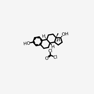 C[C@]12CC[C@@H]3c4ccc(O)cc4CC[C@H]3[C@@H]1CC[C@@H]2O.O=C(Cl)Cl